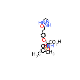 Cc1cc(C)c(S(=O)(=O)N[C@@H](CCOc2ccc(CCC(=O)NC3=NCCCN3)cc2)C(=O)O)c(C)c1